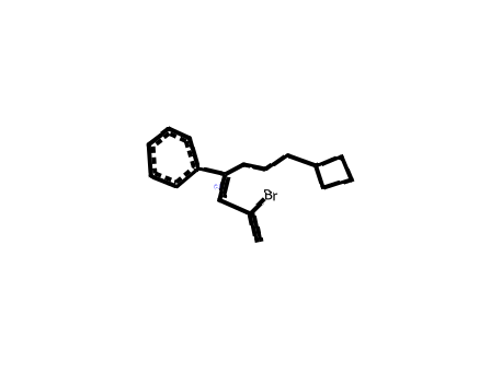 C=C(Br)/C=C(\CCCC1CCC1)c1ccccc1